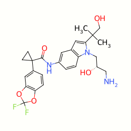 CC(C)(CO)c1cc2cc(NC(=O)C3(c4ccc5c(c4)OC(F)(F)O5)CC3)ccc2n1C[C@@H](O)CN